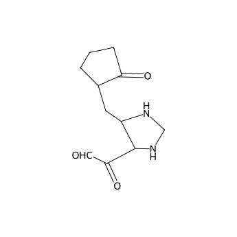 O=CC(=O)C1NCNC1CC1CCCC1=O